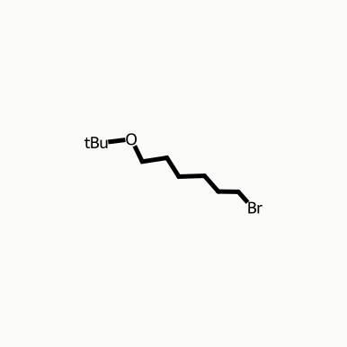 CC(C)(C)OCCCCCCBr